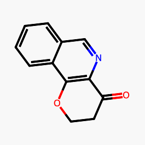 O=C1CCOc2c1ncc1ccccc21